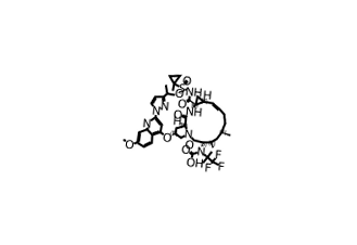 COc1ccc2c(O[C@@H]3C[C@H]4C(=O)N[C@]5(C(=O)NS(=O)(=O)C6(C)CC6)C[C@H]5C=CCC[C@@H](C)C[C@@H](C)[C@H](N(C(=O)O)C(C)(C)C(F)(F)F)C(=O)N4C3)cc(-n3ccc(C(C)C)n3)nc2c1